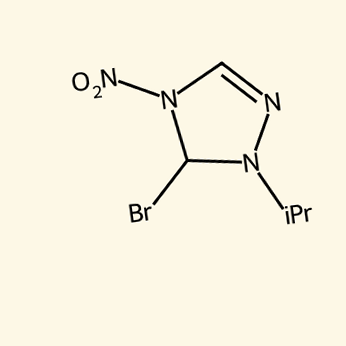 CC(C)N1N=CN([N+](=O)[O-])C1Br